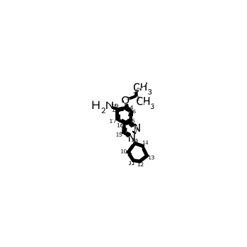 CC(C)Oc1cc2nn(C3CCCCC3)cc2cc1N